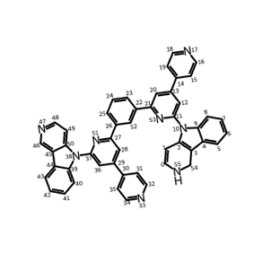 C1=Cc2c(c3ccccc3n2-c2cc(-c3ccncc3)cc(-c3cccc(-c4cc(-c5ccncc5)cc(-n5c6ccccc6c6cnccc65)n4)c3)n2)CN1